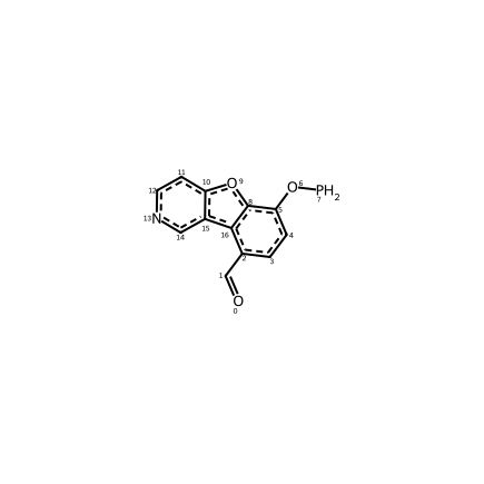 O=Cc1ccc(OP)c2oc3ccncc3c12